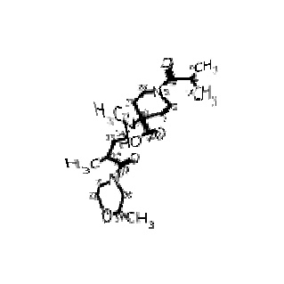 CC(C)C(=O)N1CCC(C(=O)O)(N(C)CCC(C)C(=O)N2CCO[C@@H](C)C2)CC1